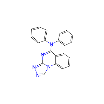 c1ccc(N(c2ccccc2)c2nc3nncn3c3ccccc23)cc1